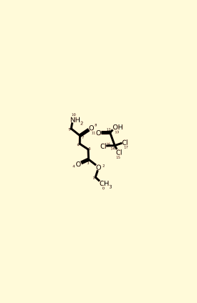 CCOC(=O)CCC(=O)CN.O=C(O)C(Cl)(Cl)Cl